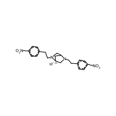 O=[N+]([O-])c1ccc(CCN2C[C@@H]3CC2CN3CCc2ccc([N+](=O)[O-])cc2)cc1